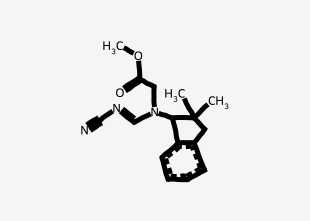 COC(=O)CN(C=NC#N)C1c2ccccc2CC1(C)C